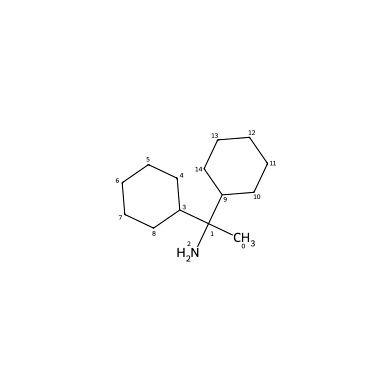 CC(N)(C1CCCCC1)C1CCCCC1